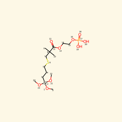 CO[Si](CCCSCC(C)(C)C(=O)OCCOP(=O)(O)O)(OC)OC